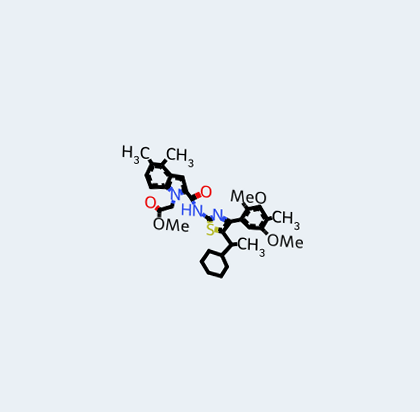 COC(=O)Cn1c(C(=O)Nc2nc(-c3cc(OC)c(C)cc3OC)c(C(C)C3CCCCC3)s2)cc2c(C)c(C)ccc21